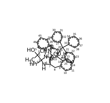 CCCC1(C(C)(C)O)NC(Cc2ccccc2-c2nnnn2C(c2ccccc2)(c2ccccc2)c2ccccc2)=C(C(=O)O)N1c1ccccc1